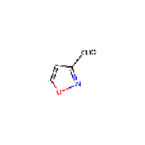 O=Cc1c[c]on1